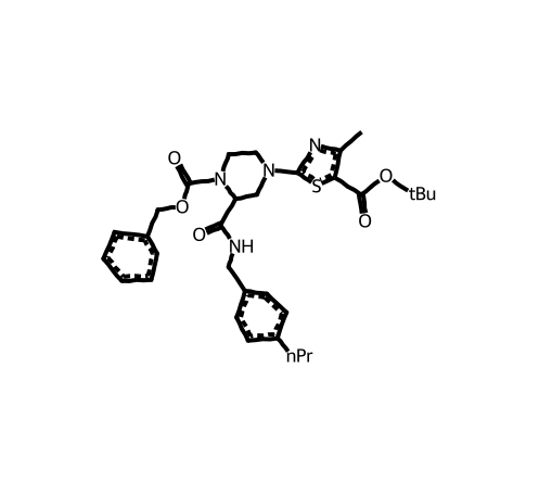 CCCc1ccc(CNC(=O)C2CN(c3nc(C)c(C(=O)OC(C)(C)C)s3)CCN2C(=O)OCc2ccccc2)cc1